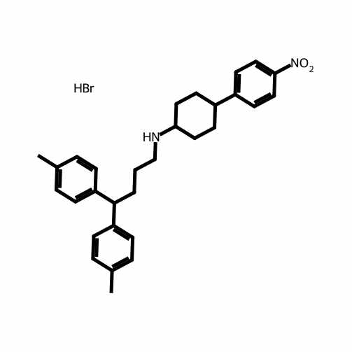 Br.Cc1ccc(C(CCCNC2CCC(c3ccc([N+](=O)[O-])cc3)CC2)c2ccc(C)cc2)cc1